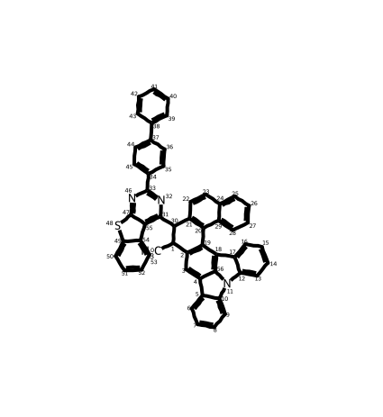 CC1c2cc3c4ccccc4n4c5ccccc5c(c2-c2c(ccc5ccccc25)C1c1nc(-c2ccc(-c5ccccc5)cc2)nc2sc5ccccc5c12)c34